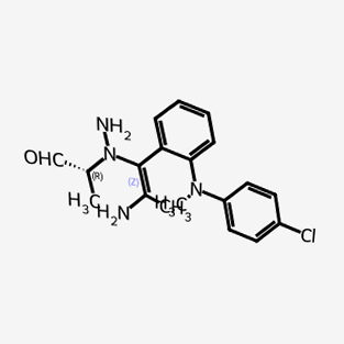 C/C(N)=C(\c1ccccc1N(C)c1ccc(Cl)cc1)N(N)[C@H](C)C=O